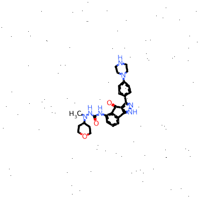 CN(NC(=O)Nc1cccc2c1C(=O)c1c(-c3ccc(N4CCNCC4)cc3)n[nH]c1-2)C1CCOCC1